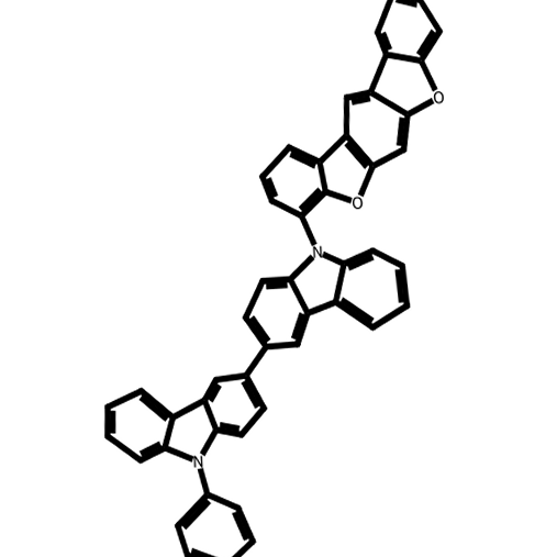 c1ccc(-n2c3ccccc3c3cc(-c4ccc5c(c4)c4ccccc4n5-c4cccc5c4oc4cc6oc7ccccc7c6cc45)ccc32)cc1